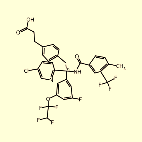 Cc1ccc(C(=O)N[C@@](Cc2ccc(CCC(=O)O)cc2)(c2cc(F)cc(OC(F)(F)C(F)F)c2)c2ccc(Cl)cn2)cc1C(F)(F)F